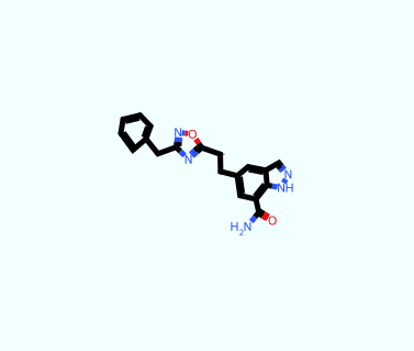 NC(=O)c1cc(C[CH]c2nc(Cc3ccccc3)no2)cc2cn[nH]c12